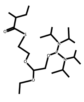 CCOC(COP(N(C(C)C)C(C)C)N(C(C)C)C(C)C)OCCSC(=O)C(C)CC